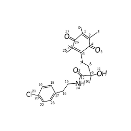 CC1=C(C)C(=O)C(CCC(C)(O)C(=O)NCCc2ccc(Cl)cc2)=C(C)C1=O